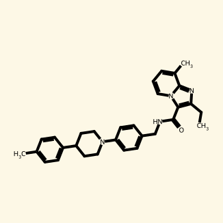 CCc1nc2c(C)cccn2c1C(=O)NCc1ccc(N2CCC(c3ccc(C)cc3)CC2)cc1